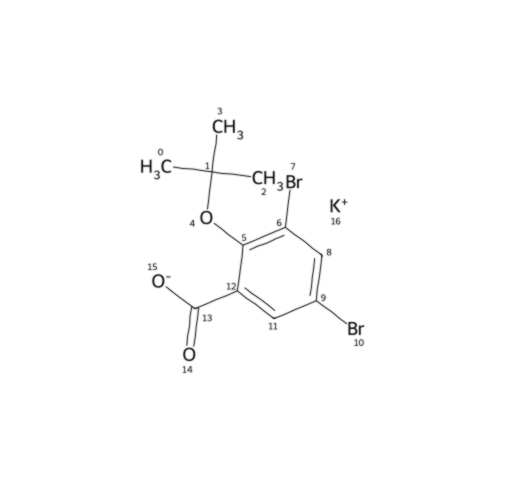 CC(C)(C)Oc1c(Br)cc(Br)cc1C(=O)[O-].[K+]